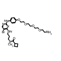 CN(CCCNc1nc(Nc2ccc(OCCOCCOCCOCCN)cc2)ncc1Br)C(=O)C1CCC1